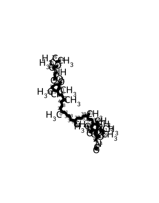 CC(C=CC=C(C)C=CC1=C(C)C(=O)C(OC(=O)CNC(=O)OC(C)(C)C)CC1(C)C)=CC=CC=C(C)C=CC=C(C)C=CC1=C(C)C(=O)C(OC(=O)CN=C=O)(OC(C)(C)C)CC1(C)C